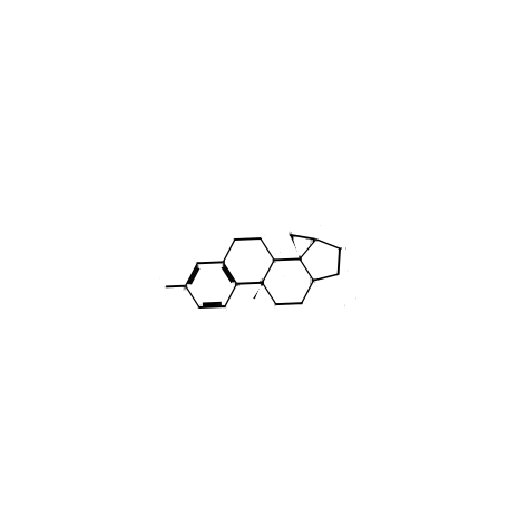 C[C@]12CC[C@@H]3c4ccc(O)cc4CC[C@H]3[C@@]13C[C@H]3C[C@@H]2O